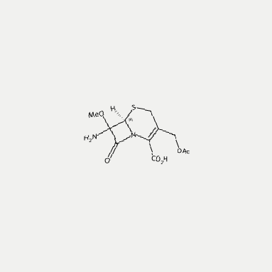 COC1(N)C(=O)N2C(C(=O)O)=C(COC(C)=O)CS[C@@H]21